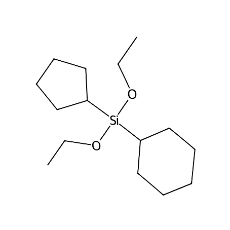 CCO[Si](OCC)(C1CCCCC1)C1CCCC1